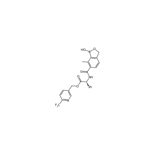 Cc1c(C(=O)N[C@H](C(=O)OCc2ccc(C(F)(F)F)nc2)C(C)C)ccc2c1B(O)OC2